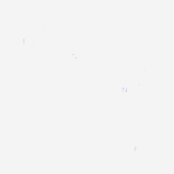 CC1(C)CCN(c2ccc(-n3c(=O)sc4cc(F)c(O)c(F)c43)cc2)CC1